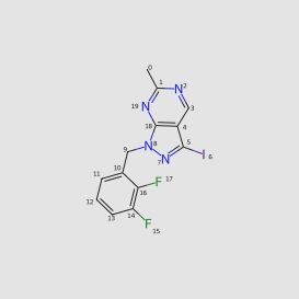 Cc1ncc2c(I)nn(Cc3cccc(F)c3F)c2n1